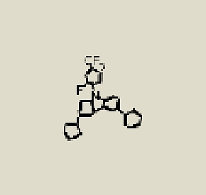 Fc1cc(C(F)(F)F)ccc1-n1c2ccc(-c3ccccc3)cc2c2cc(-c3ccccc3)ccc21